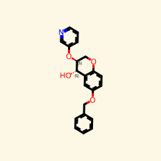 O[C@H]1c2cc(OCc3ccccc3)ccc2OC[C@@H]1Oc1cccnc1